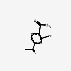 CC(=O)c1cnc(C(N)=O)c(O)n1